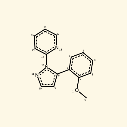 COc1ccccc1-c1ccnn1-c1ccccn1